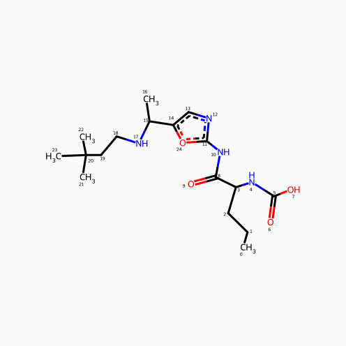 CCCC(NC(=O)O)C(=O)Nc1ncc(C(C)NCCC(C)(C)C)o1